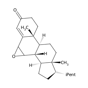 CCC[C@@H](C)[C@H]1CC[C@H]2[C@@H]3C4OC4C4=CC(=O)CC[C@]4(C)[C@H]3CC[C@]12C